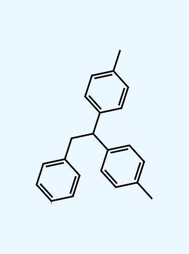 Cc1ccc(C(Cc2cc[c]cc2)c2ccc(C)cc2)cc1